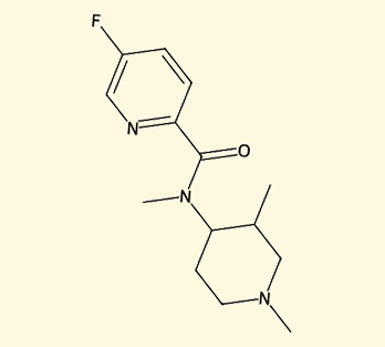 CC1CN(C)CCC1N(C)C(=O)c1ccc(F)cn1